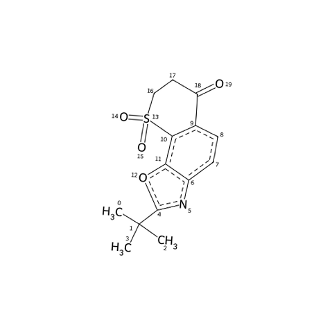 CC(C)(C)c1nc2ccc3c(c2o1)S(=O)(=O)CCC3=O